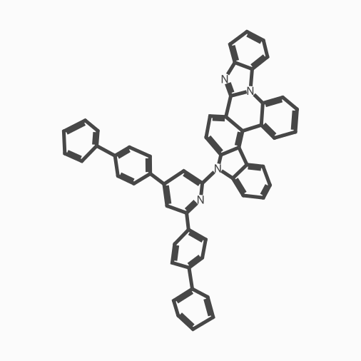 c1ccc(-c2ccc(-c3cc(-c4ccc(-c5ccccc5)cc4)nc(-n4c5ccccc5c5c6c7ccccc7n7c8ccccc8nc7c6ccc54)c3)cc2)cc1